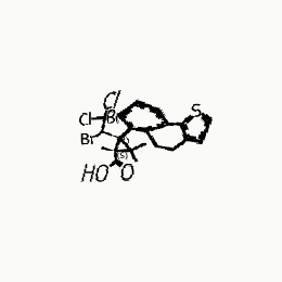 CC1(C)[C@](C)(C(=O)O)[C@@]1(c1cccc2c1CCc1ccsc1-2)C(Br)C(Cl)(Cl)Br